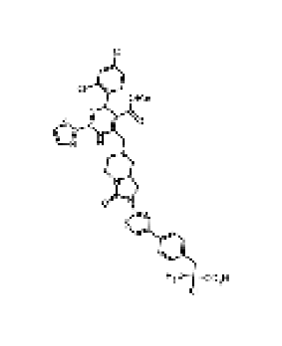 COC(=O)C1=C(CN2CCN3C(=O)N(c4nc(-c5ccc(CC(C)(C)C(=O)O)cc5)cs4)CC3C2)NC(c2nccs2)=NC1c1ccc(Cl)cc1Cl